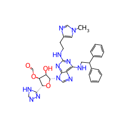 Cn1cnc(CCNc2nc(NCC(c3ccccc3)c3ccccc3)c3ncn([C@@H]4O[C@H](c5nnc[nH]5)[C@@H](OC=O)[C@H]4O)c3n2)c1